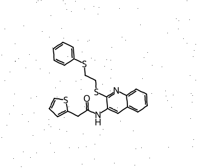 O=C(Cc1cccs1)Nc1cc2ccccc2nc1SCCSc1ccccc1